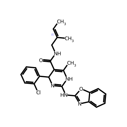 C/C=C(\C)CNC(=O)C1=C(C)NC(Nc2nc3ccccc3o2)=NC1c1ccccc1Cl